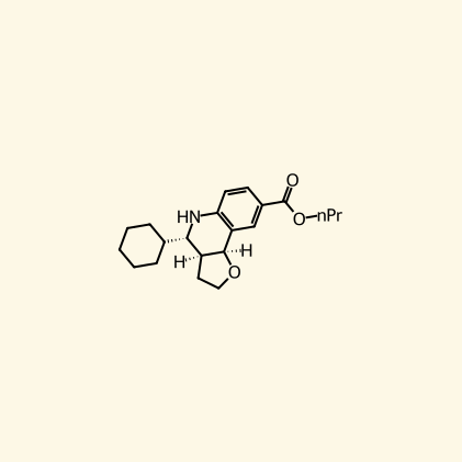 CCCOC(=O)c1ccc2c(c1)[C@H]1OCC[C@H]1[C@H](C1CCCCC1)N2